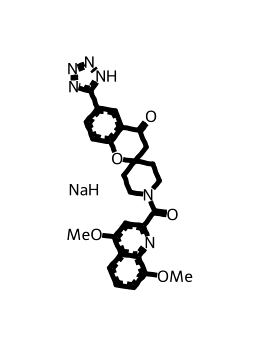 COc1cc(C(=O)N2CCC3(CC2)CC(=O)c2cc(-c4nnn[nH]4)ccc2O3)nc2c(OC)cccc12.[NaH]